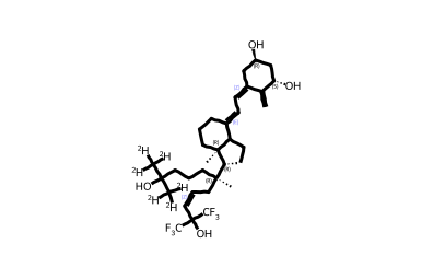 [2H]C([2H])([2H])C(O)(CCC[C@](C)(C/C=C\C(O)(C(F)(F)F)C(F)(F)F)[C@H]1CCC2/C(=C/C=C3/C[C@@H](O)C[C@H](O)C3=C)CCC[C@@]21C)C([2H])([2H])[2H]